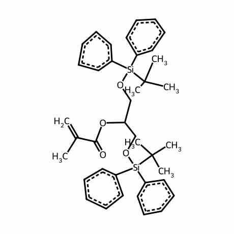 C=C(C)C(=O)OC(CO[Si](c1ccccc1)(c1ccccc1)C(C)(C)C)CO[Si](c1ccccc1)(c1ccccc1)C(C)(C)C